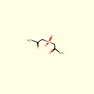 CC(=O)CS(=O)(=O)CC(C)=S